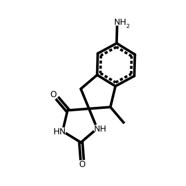 CC1c2ccc(N)cc2CC12NC(=O)NC2=O